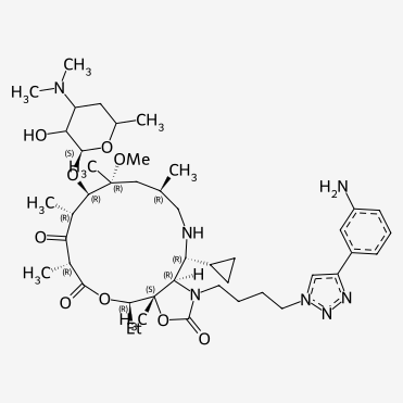 CC[C@H]1OC(=O)[C@H](C)C(=O)[C@H](C)[C@@H](O[C@@H]2OC(C)CC(N(C)C)C2O)[C@](C)(OC)C[C@@H](C)CN[C@H](C2CC2)[C@H]2N(CCCCn3cc(-c4cccc(N)c4)nn3)C(=O)O[C@]12C